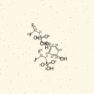 O=S(=O)(O)CC(F)F.O=S(=O)(O)CC(F)F.Oc1ccc(O)cc1